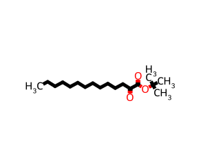 CCCCCCCCCCCCC(=O)C(=O)OC(C)(C)C